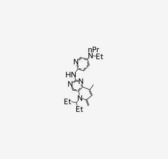 C=C1C=C(C)c2nc(Nc3ccc(N(CC)CCC)cn3)ncc2N1C(CC)CC